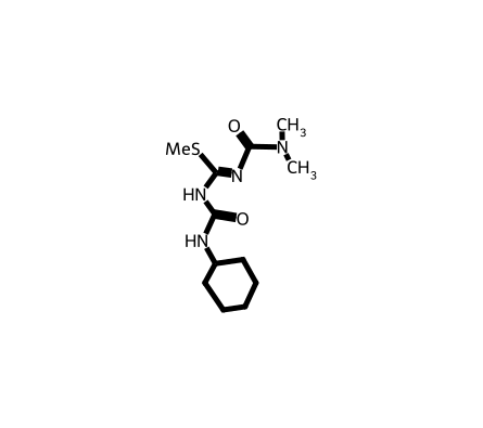 CSC(=NC(=O)N(C)C)NC(=O)NC1CCCCC1